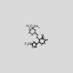 CC1(C)CN(CCc2c(-c3noc(C(F)(F)F)n3)cc[nH]c2=O)CCO1